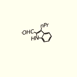 CCCc1c([C]=O)[nH]c2ccccc12